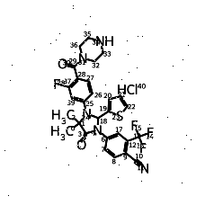 CC1(C)C(=O)N(c2ccc(C#N)c(C(F)(F)F)c2)C(c2cccs2)N1c1ccc(C(=O)N2CCNCC2)c(F)c1.Cl